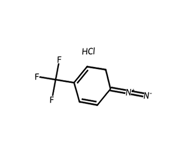 Cl.[N-]=[N+]=C1C=CC(C(F)(F)F)=CC1